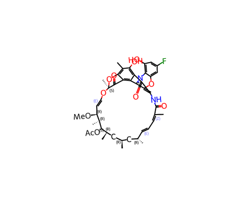 CO[C@H]1/C=C/O[C@@]2(C)Oc3c(C)c(O)c4c(=O)c(c5oc6cc(F)cc(O)c6nc-5c4c3C2=O)NC(=O)/C(C)=C\C=C\[C@H](C)C[C@@H](C)C[C@@H](C)[C@H](OC(C)=O)[C@@H]1C